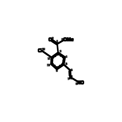 COC(=O)c1cc(/C=N/N=O)ccc1Cl